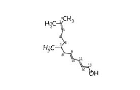 CC(C)=CCCC(C)C/C=C/C=C/CO